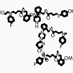 CN(Cc1ccccc1C1=CCNCC1)C(=O)CCCSc1ccc(O)cc1.CN(Cc1ccccc1N1CCN(c2ccc(C(F)(F)F)cn2)CC1)C(=O)CCCN(C)c1ccc(F)cc1.COc1ccccc1CN(C)C(=O)CCCN(CCO)c1ccc(F)cc1.COc1ccccc1CN(C)C(=O)CCCS(=O)(=O)c1ccc(F)cc1